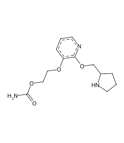 NC(=O)OCCOc1cccnc1OCC1CCCN1